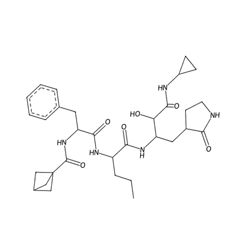 CCCC(NC(=O)C(Cc1ccccc1)NC(=O)C12CC(C1)C2)C(=O)NC(CC1CCNC1=O)C(O)C(=O)NC1CC1